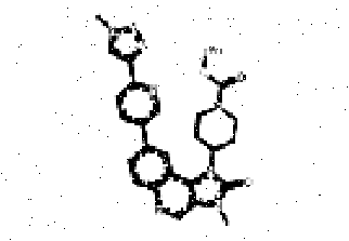 Cn1cc(-c2ccc(-c3ccc4ncc5c(c4c3)n(C3CCN(C(=O)OC(C)(C)C)CC3)c(=O)n5C)cn2)nn1